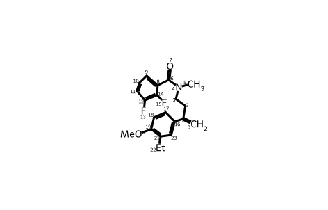 C=C(CCN(C)C(=O)c1cccc(F)c1F)c1ccc(OC)c(CC)c1